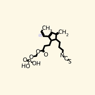 C=C1C=C(/C=C\C)C(CCC(=O)OCOP(=O)(O)O)C1CCCN=C=S